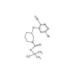 CC(C)(C)OC(=O)N1CCCC(Oc2cc(Br)cnc2C#N)C1